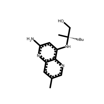 CCCC[C@](C)(CO)Nc1cc(N)nc2cc(C)cnc12